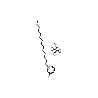 CCCCCCCCCCCCCC[n+]1cccc(C)c1.COS(=O)(=O)[O-]